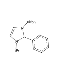 CCCCCCCCCN1C=CN(C(C)C)C1c1ccccc1